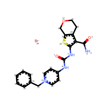 NC(=O)c1c(NC(=O)Nc2cc[n+](Cc3ccccc3)cc2)sc2c1CCOC2.[Br-]